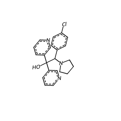 OC(c1cccnc1)(c1cccnc1)C(c1ccc(Cl)cc1)N1CCCC1